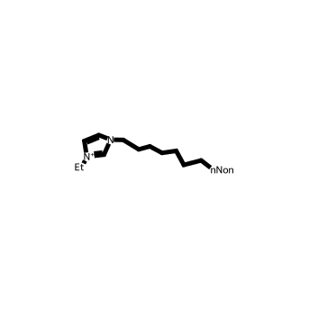 CCCCCCCCCCCCCCCCn1cc[n+](CC)c1